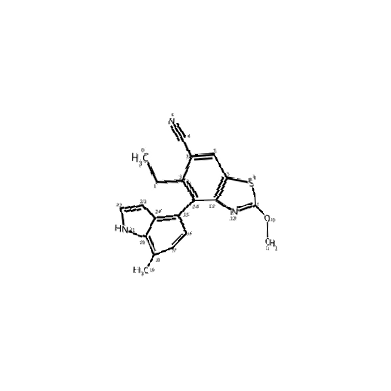 CCc1c(C#N)cc2sc(OC)nc2c1-c1ccc(C)c2[nH]ccc12